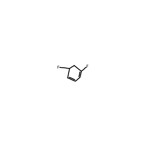 FC1=CC=CC(F)C1